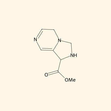 COC(=O)C1NCN2CC=NC=C12